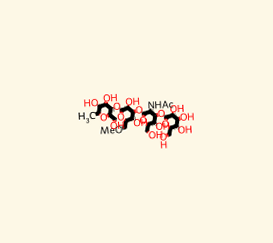 COCC1O[C@@H](O[C@@H]2C(CO)OC(C)[C@@H](O)C2O)[C@@H](O)C(O[C@@H]2OC(CO)[C@@H](O)C(O[C@@H]3OC(CO)[C@H](O)C(O)[C@@H]3O)[C@@H]2NC(C)=O)[C@H]1O